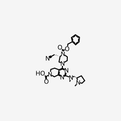 CN(C[C@@H]1CCCN1C)c1nc2c(c(N3CCN(C(=O)OCc4ccccc4)[C@@H](CC#N)C3)n1)CCN(C(=O)O)C2